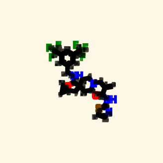 C=C(CN1CCC(CC2CC2)(C(=O)NCc2cc(C(F)(F)F)cc(C(F)(F)F)c2)CC1)C(=O)Nc1nccs1